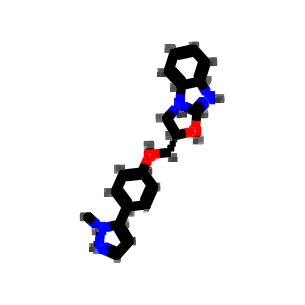 Cn1nccc1-c1ccc(OC[C@@H]2Cn3c(nc4ccccc43)O2)cc1